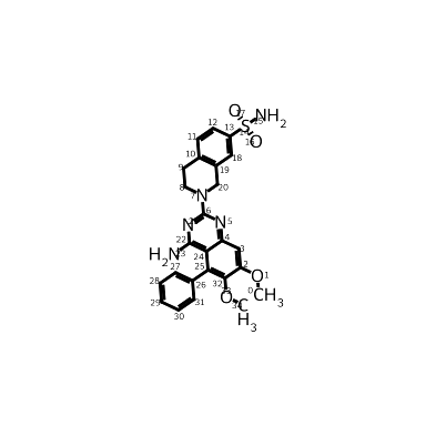 COc1cc2nc(N3CCc4ccc(S(N)(=O)=O)cc4C3)nc(N)c2c(-c2ccccc2)c1OC